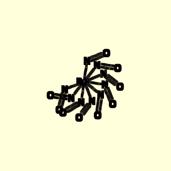 O=[N][Ru]([N]=O)([N]=O)([N]=O)([N]=O)([N]=O)([N]=O)([N]=O)[N]=O